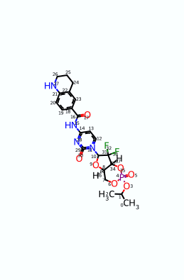 CC(C)OP1(=O)OC[C@H]2OC(n3ccc(NC(=O)c4ccc5c(c4)CCCN5)nc3=O)C(F)(F)[C@@H]2O1